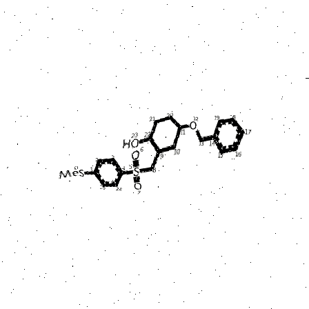 CSc1ccc(S(=O)(=O)CC2CC(OCc3ccccc3)CCC2O)cc1